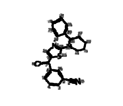 N#Cc1cccc(C(=O)c2cnc(N3CCCCC3c3ccccc3)s2)c1